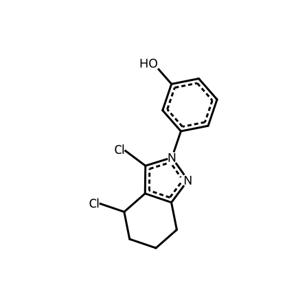 Oc1cccc(-n2nc3c(c2Cl)C(Cl)CCC3)c1